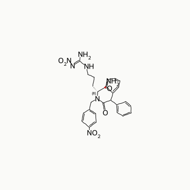 NC(=O)[C@@H](CCCNC(N)=N[N+](=O)[O-])N(Cc1ccc([N+](=O)[O-])cc1)C(=O)C(c1ccccc1)c1ccccc1